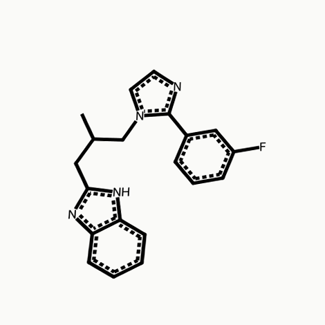 CC(Cc1nc2ccccc2[nH]1)Cn1ccnc1-c1cccc(F)c1